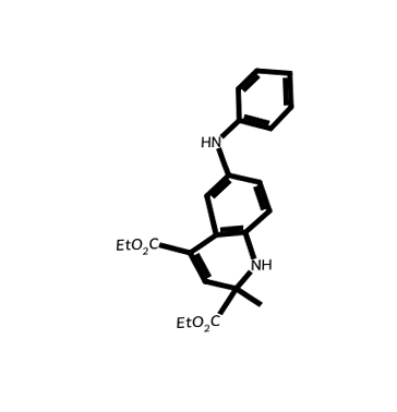 CCOC(=O)C1=CC(C)(C(=O)OCC)Nc2ccc(Nc3ccccc3)cc21